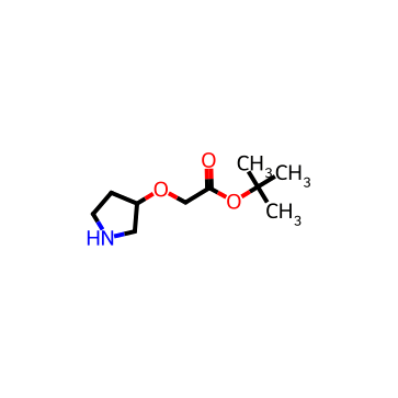 CC(C)(C)OC(=O)COC1CCNC1